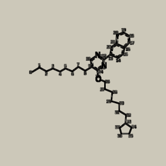 CCCCCCCCCc1cnc(-c2ccc3ccccc3c2)nc1OCCCCCCCC1CCCC1